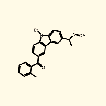 CCn1c2ccc(C(=O)c3ccccc3C)cc2c2cc(C(C)NOC(C)=O)ccc21